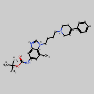 Cc1cc(NC(=O)OC(C)(C)C)cc2ncn(CCCCN3CC=C(c4ccccc4)CC3)c12